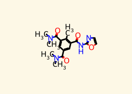 Cc1c(C(=O)Nc2ncco2)cc(C(=O)N(C)C)cc1C(=O)N(C)C